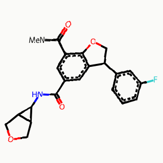 CNC(=O)c1cc(C(=O)NC2C3COCC32)cc2c1OCC2c1cccc(F)c1